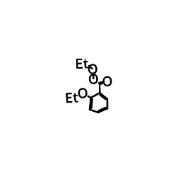 [CH2]COOC(=O)c1ccccc1OCC